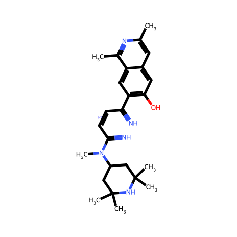 Cc1cc2cc(O)c(C(=N)/C=C\C(=N)N(C)C3CC(C)(C)NC(C)(C)C3)cc2c(C)n1